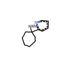 CNC1(c2ccccn2)CCCCCC1